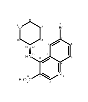 CCOC(=O)c1cnc2ccc(Br)cc2c1N[C@@H]1CCCOC1